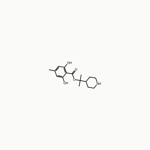 Cc1cc(O)c(C(=O)OC(C)(C)C2CCNCC2)c(O)c1